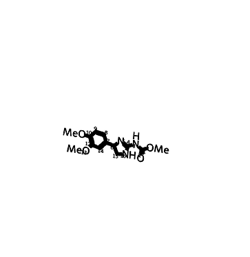 COC(=O)NC1=NC(c2ccc(OC)c(OC)c2)CN1